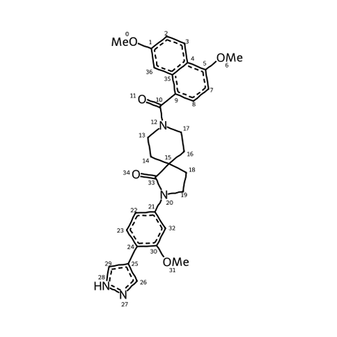 COc1ccc2c(OC)ccc(C(=O)N3CCC4(CC3)CCN(c3ccc(-c5cn[nH]c5)c(OC)c3)C4=O)c2c1